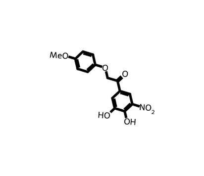 COc1ccc(OCC(=O)c2cc(O)c(O)c([N+](=O)[O-])c2)cc1